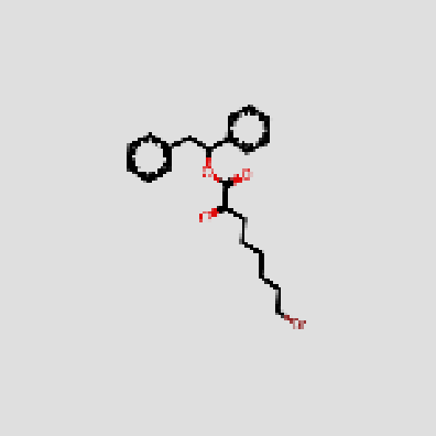 O=C(CCCCCCBr)C(=O)OC(Cc1ccccc1)c1ccccc1